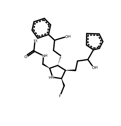 CCC(=O)NC[C@@H]1N[C@H](CF)[C@H](CCC(O)c2ccccc2)[C@H]1CCC(O)c1ccccc1